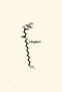 CCCCCCCCCCCCOC(=O)CCC(=O)OS(=O)(=O)O.[NaH].[NaH]